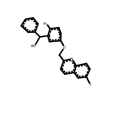 CC(=O)c1ccc(OCc2ccc3cc(F)ccc3n2)cc1C(c1ccccc1)C(C)(C)C